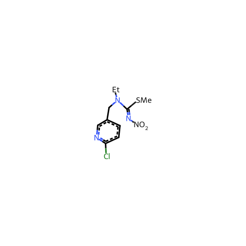 CCN(Cc1ccc(Cl)nc1)C(=N[N+](=O)[O-])SC